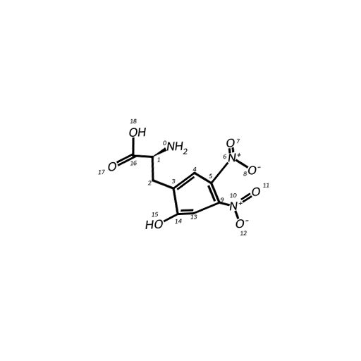 N[C@@H](Cc1cc([N+](=O)[O-])c([N+](=O)[O-])cc1O)C(=O)O